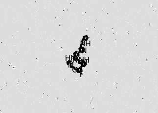 Fc1cc(OCCN2CCCC2)cc(-c2ccnc3[nH]c(-c4n[nH]c5ccc(-c6cncc(CNCC7CCCC7)c6)cc45)cc23)c1